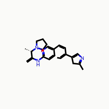 C=C(Nc1ccc(/C=C\C(=C/C)C2=CN=C(C)C2)cn1)[C@H](C)N1CCCC1